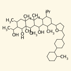 CC(C)C1CC(C2CCC(CC3CCC(C4CCCCC4C)CC3)O2)C(C)C2C(O)C3C(C)C4(C)C(O)C(C(C)O)C(C)CC4(C)CC3(C)CC12